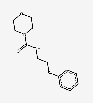 O=C(NCCSc1cc[c]cc1)N1CCOCC1